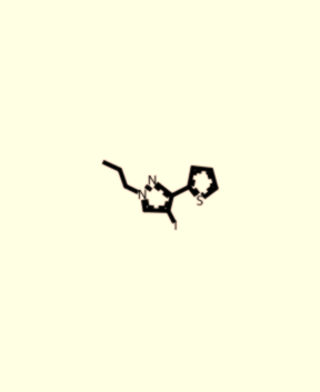 CCCn1cc(I)c(-c2cccs2)n1